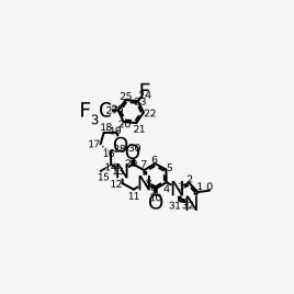 Cc1cn(-c2ccc3n(c2=O)CCN([C@@H](C)[C@@H]2CC[C@H](c4ccc(F)cc4C(F)(F)F)O2)C3=O)cn1